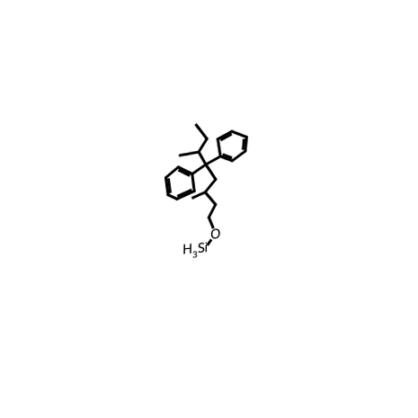 CCC(C)C(CC(C)CCO[SiH3])(c1ccccc1)c1ccccc1